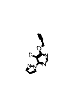 C#CCOc1ncnc(-n2cccn2)c1F